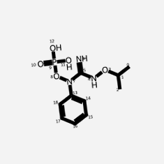 CC(C)ONC(=N)N(OP(=O)(O)O)c1ccccc1